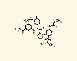 COC(=O)Nc1ccc(S(=O)(=O)C(C)C)c(C2CCCN2C(=O)[C@H](Nc2cccc(C(N)=O)c2)c2ccc(F)c(OC)c2)c1